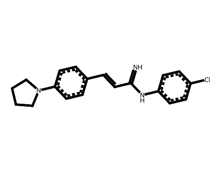 N=C(/C=C/c1ccc(N2CCCC2)cc1)Nc1ccc(Cl)cc1